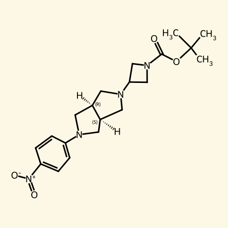 CC(C)(C)OC(=O)N1CC(N2C[C@H]3CN(c4ccc([N+](=O)[O-])cc4)C[C@H]3C2)C1